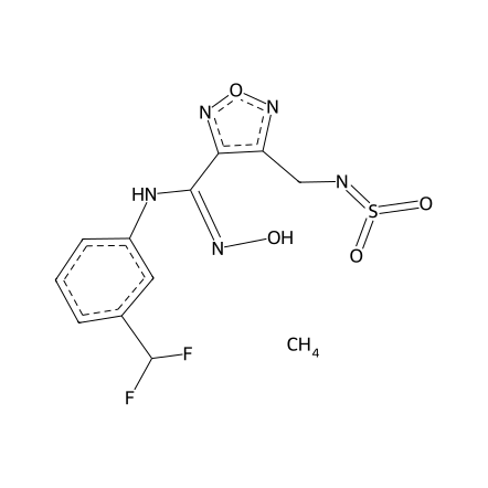 C.O=S(=O)=NCc1nonc1C(=NO)Nc1cccc(C(F)F)c1